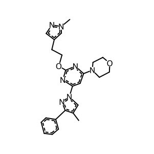 Cc1cn(-c2cc(N3CCOCC3)nc(OCCc3cnn(C)c3)n2)nc1-c1ccccc1